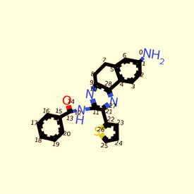 Nc1ccc2c(c1)CCc1nc(NC(=O)c3ccccc3)c(-c3cccs3)nc1-2